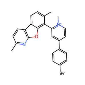 Cc1ccc2c(n1)oc1c(-c3cc(-c4ccc(C(C)C)cc4)cc[n+]3C)c(C)ccc12